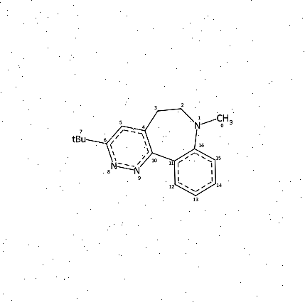 CN1CCc2cc(C(C)(C)C)nnc2-c2ccccc21